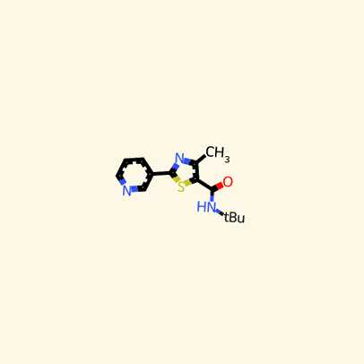 Cc1nc(-c2cccnc2)sc1C(=O)NC(C)(C)C